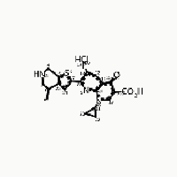 CC1CNCc2sc(-c3nc4c(cc3F)c(=O)c(C(=O)O)cn4C3CC3)cc21.Cl